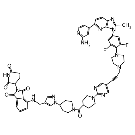 Cc1nc2ccc(-c3ccnc(N)c3)nc2n1-c1cc(F)c(N2CCN(CC#Cc3cnc(N4CCC(C(=O)N5CCC(n6cc(CNc7cccc8c7C(=O)N(C7CCC(=O)NC7=O)C8=O)cn6)CC5)CC4)nc3)CC2)c(F)c1